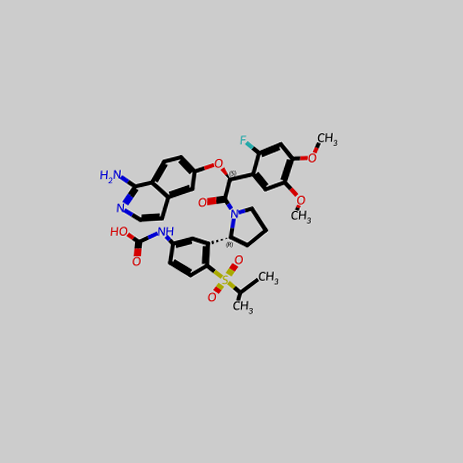 COc1cc(F)c([C@H](Oc2ccc3c(N)nccc3c2)C(=O)N2CCC[C@@H]2c2cc(NC(=O)O)ccc2S(=O)(=O)C(C)C)cc1OC